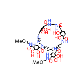 COCCNC(=O)c1ccc(C(=O)N2CCCCN(C(=O)c3ccc(C(=O)NCCOC)c(O)c3O)CCCNC(=O)c3ccc(c(O)c3O)C(=O)NCCNC(=O)c3ccc(c(O)c3O)CNCCC2)c(O)c1O